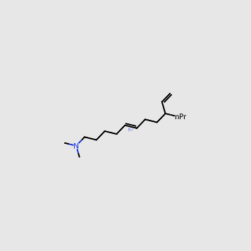 C=CC(CCC)CC/C=C/CCCCN(C)C